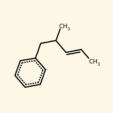 CC=CC(C)Cc1[c]cccc1